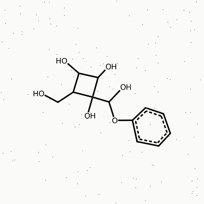 OCC1C(O)C(O)C1(O)C(O)Oc1ccccc1